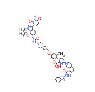 COc1c(NC(=O)CN2CCC3(CC2)CC(COc2ccc(-c4ccc(N5CCc6cccc(C(=O)Nc7nc8ccccc8s7)c6C5)nc4C(=O)O)c(C)c2)C3)ccc2c(C3CCC(=O)NC3=O)nn(C)c12